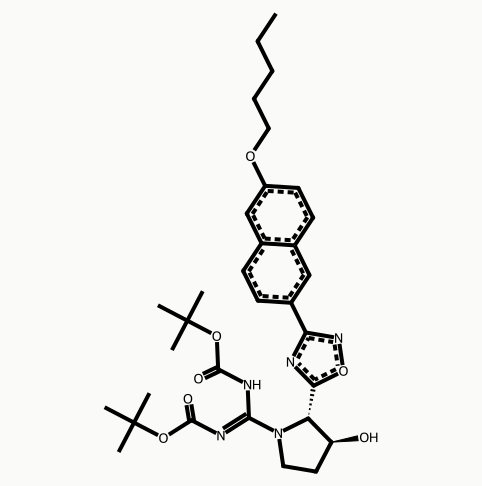 CCCCCOc1ccc2cc(-c3noc([C@@H]4[C@@H](O)CCN4/C(=N/C(=O)OC(C)(C)C)NC(=O)OC(C)(C)C)n3)ccc2c1